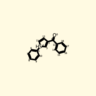 O=C(C1=C[SH](c2cc[c]cc2)C=C1)c1ccccc1